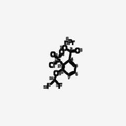 CCCOC(=O)c1cccc(OC(F)F)c1S(=O)(=O)Cl